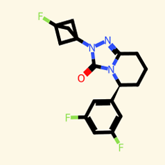 O=c1n(C23CC(F)(C2)C3)nc2n1[C@H](c1cc(F)cc(F)c1)CCC2